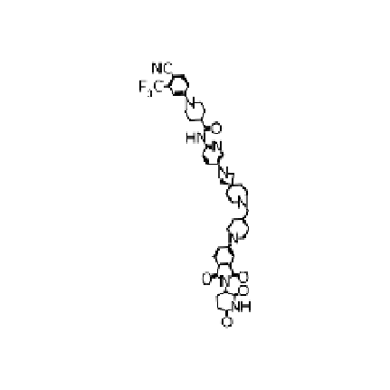 N#Cc1ccc(N2CCC(C(=O)Nc3ccc(N4CC5(CCN(CC6CCN(c7ccc8c(c7)C(=O)N(C7CCC(=O)NC7=O)C8=O)CC6)CC5)C4)cn3)CC2)cc1C(F)(F)F